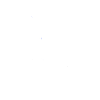 [2H]N(CCC[Si](OC)(OC)OC)CCNCCN